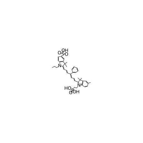 CCCN1/C(=C/C=C/C(=C/C=C/C2=[N+](CCP(=O)(O)O)c3ccc(C)cc3C2(C)C)c2ccccc2)C(C)(C)c2cc(S(=O)(=O)O)ccc21